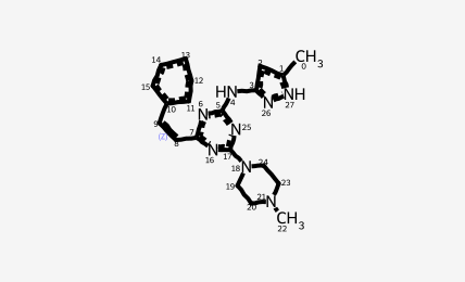 Cc1cc(Nc2nc(/C=C\c3ccccc3)nc(N3CCN(C)CC3)n2)n[nH]1